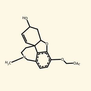 CC(=O)OCOc1ccc2c3c1OC1CC(O)C=CC31CCN(C)C2